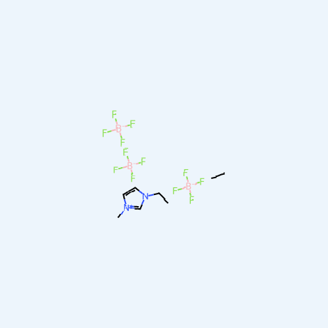 CC.CCn1cc[n+](C)c1.F[B-](F)(F)F.F[B-](F)(F)F.F[B-](F)(F)F